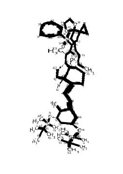 C=C1/C(=C\C=C2/CCC[C@]3(C)[C@@H]([C@H](C)C(O)C(CC4(C5(CCCCCC)OCCO5)CC4)S(=O)(=O)c4ccccc4)CC[C@@H]23)C[C@@H](O[Si](C)(C)C(C)(C)C)C[C@@H]1O[Si](C)(C)C(C)(C)C